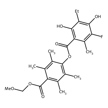 CCc1c(O)c(F)c(C)c(C(=O)Oc2c(C)c(C)c(C(=O)OCOC)c(C)c2C)c1O